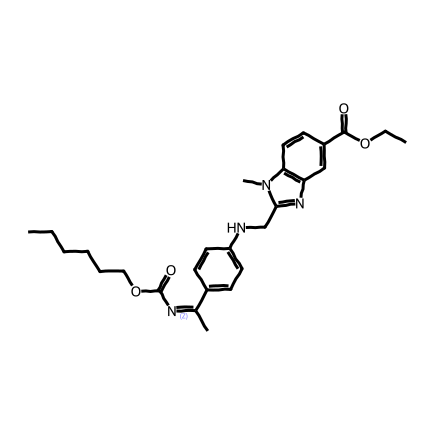 CCCCCCOC(=O)/N=C(/C)c1ccc(NCc2nc3cc(C(=O)OCC)ccc3n2C)cc1